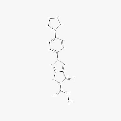 CC(C)(C)OC(=O)N1Cc2nn(-c3ccc(N4CCCC4)cc3)cc2C1=O